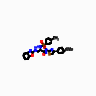 COc1ccc(-c2csc(NC(=O)C(CNc3nc4ccccc4o3)NS(=O)(=O)c3ccc(C)cc3)n2)cc1